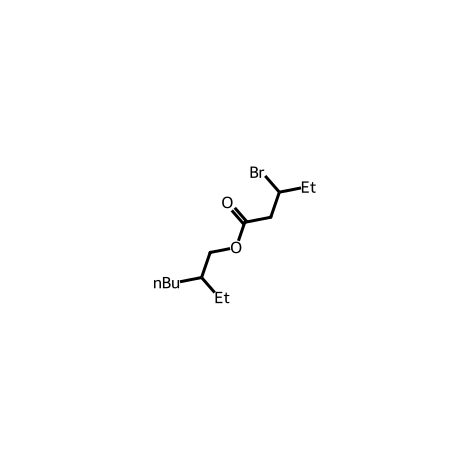 CCCCC(CC)COC(=O)CC(Br)CC